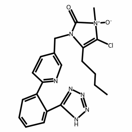 CCCCC1=C(Cl)[N+](C)([O-])C(=O)N1Cc1ccc(-c2ccccc2-c2nnn[nH]2)nc1